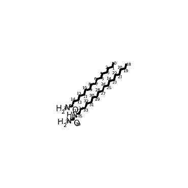 CCCCCCCCCCCCCCCC(N)=O.CCCCCCCCCCCCCCCCCCNC(N)=O